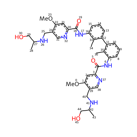 COc1cc(C(=O)Nc2cccc(-c3cccc(NC(=O)c4cc(OC)c(CNC(C)CO)cn4)c3C)c2C)ncc1CNC(C)CO